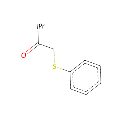 CC(C)C(=O)CSc1ccccc1